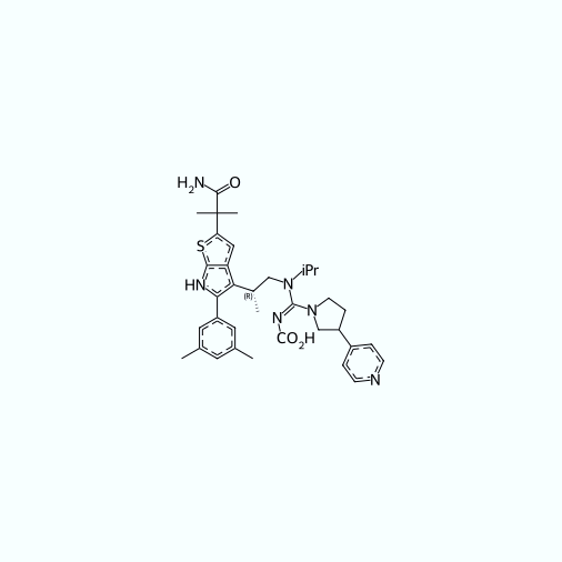 Cc1cc(C)cc(-c2[nH]c3sc(C(C)(C)C(N)=O)cc3c2[C@@H](C)CN(C(=NC(=O)O)N2CCC(c3ccncc3)C2)C(C)C)c1